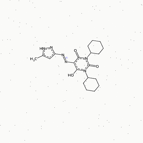 Cc1cc(/N=N/c2c(O)n(C3CCCCC3)c(=O)n(C3CCCCC3)c2=O)n[nH]1